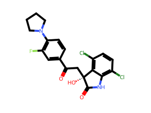 O=C(C[C@]1(O)C(=O)Nc2c(Cl)ccc(Cl)c21)c1ccc(N2CCCC2)c(F)c1